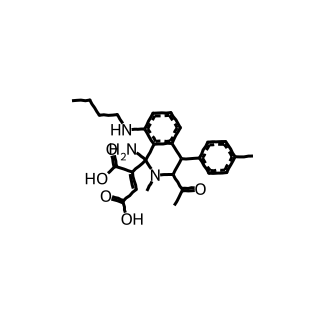 CCCCNc1cccc2c1C(N)(C(=CC(=O)O)C(=O)O)N(C)C(C(C)=O)C2c1ccc(C)cc1